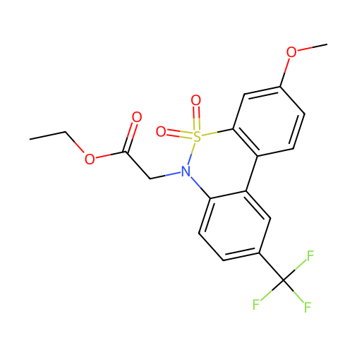 CCOC(=O)CN1c2ccc(C(F)(F)F)cc2-c2ccc(OC)cc2S1(=O)=O